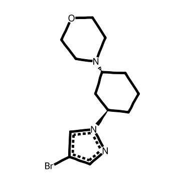 Brc1cnn([C@@H]2CCC[C@@H](N3CCOCC3)C2)c1